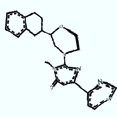 Cn1c(N2CCOC(C3CCc4ccccc4C3)C2)nc(-c2ccncn2)cc1=O